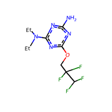 CCN(CC)c1nc(N)nc(OCC(F)(F)C(F)F)n1